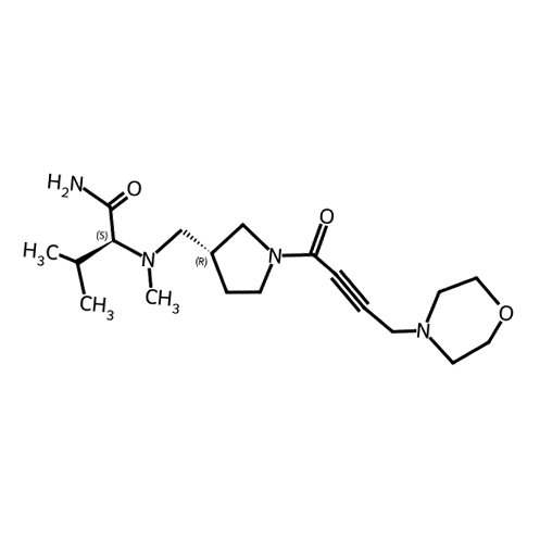 CC(C)[C@@H](C(N)=O)N(C)C[C@H]1CCN(C(=O)C#CCN2CCOCC2)C1